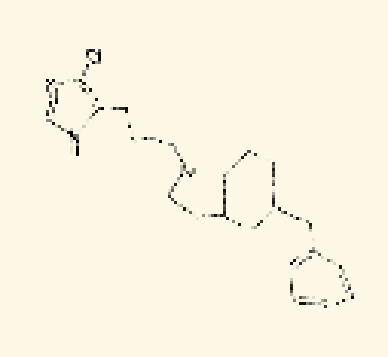 Clc1nc[nH]c1CCCN1CCC2CC(Cc3ccccc3)CCC21